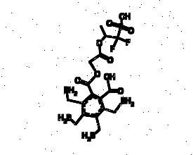 BCc1c(CB)c(CB)c(C(=O)OCC(=O)OC(C)C(F)(F)S(=O)(=O)O)c(C(=O)O)c1CB